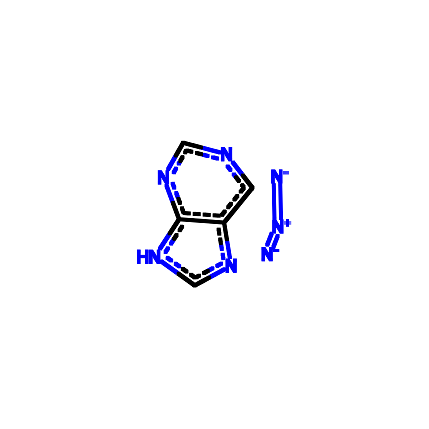 [N-]=[N+]=[N-].c1ncc2nc[nH]c2n1